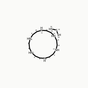 C1CNCCNCCNCCNCCNCCN1.SSS